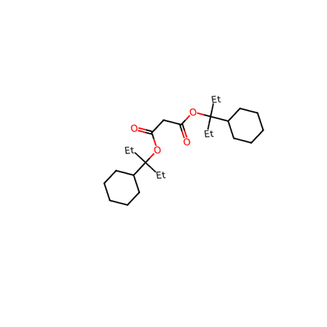 CCC(CC)(OC(=O)CC(=O)OC(CC)(CC)C1CCCCC1)C1CCCCC1